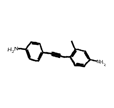 Cc1cc(N)ccc1C#Cc1ccc(N)cc1